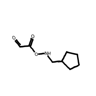 O=CC(=O)ONCC1CCCC1